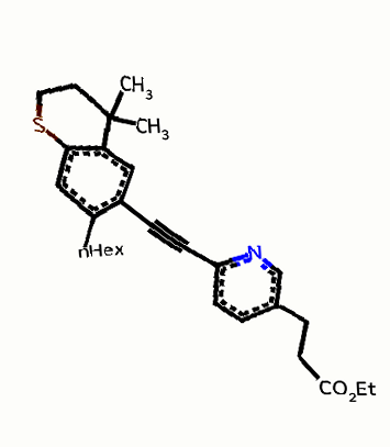 CCCCCCc1cc2c(cc1C#Cc1ccc(CCC(=O)OCC)cn1)C(C)(C)CCS2